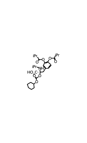 CC(C)N[C@@](Cc1ccc(OC(=O)C(C)C)c(OC(=O)C(C)C)c1)(OC(=O)OC1CCCCC1)C(=O)O